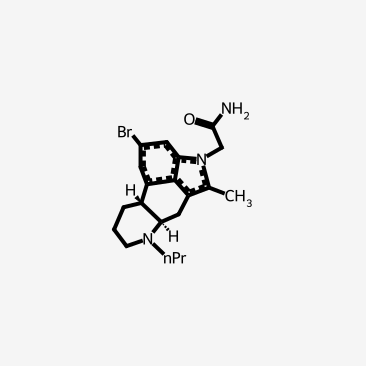 CCCN1CCC[C@@H]2c3cc(Br)cc4c3c(c(C)n4CC(N)=O)C[C@H]21